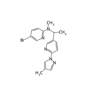 Cc1cnn(-c2ccc(C(C)N(C)c3ccc(Br)cn3)cn2)c1